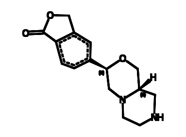 O=C1OCc2cc([C@@H]3CN4CCNC[C@H]4CO3)ccc21